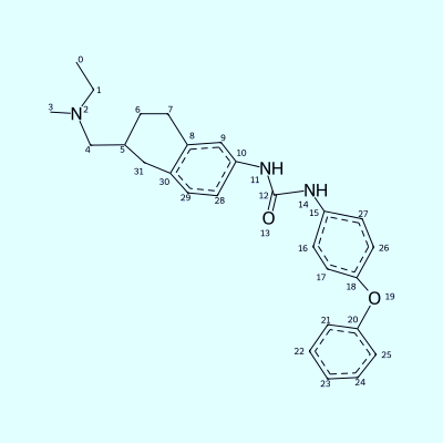 CCN(C)CC1CCc2cc(NC(=O)Nc3ccc(Oc4ccccc4)cc3)ccc2C1